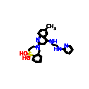 Cc1ccc2nc(N3CCS(O)(O)c4ccccc4C3)cc(NCCNc3ccccn3)c2c1